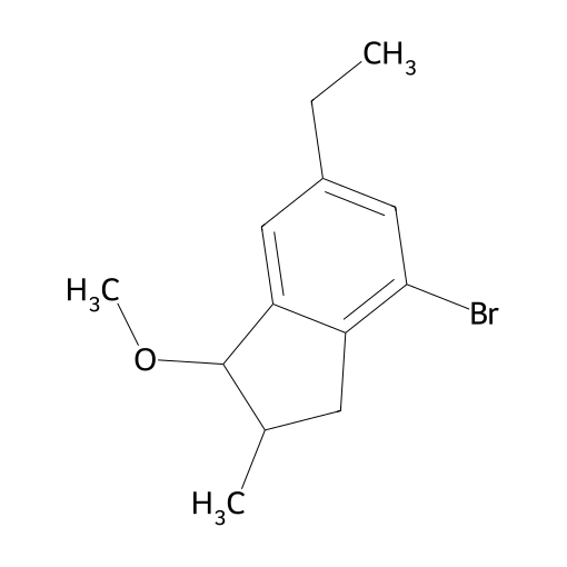 CCc1cc(Br)c2c(c1)C(OC)C(C)C2